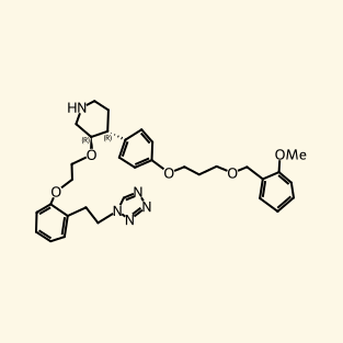 COc1ccccc1COCCCOc1ccc([C@H]2CCNC[C@@H]2OCCOc2ccccc2CCn2cnnn2)cc1